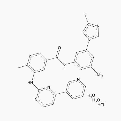 Cc1cn(-c2cc(NC(=O)c3ccc(C)c(Nc4nccc(-c5cccnc5)n4)c3)cc(C(F)(F)F)c2)cn1.Cl.O.O